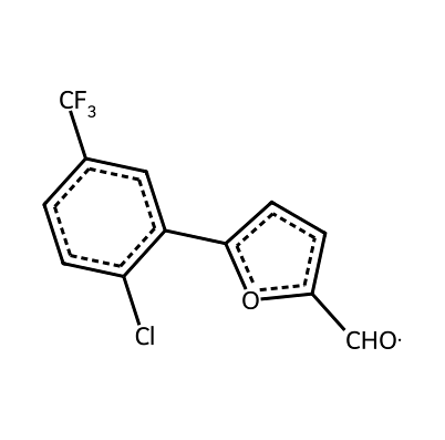 O=[C]c1ccc(-c2cc(C(F)(F)F)ccc2Cl)o1